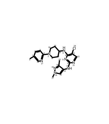 Cc1ccc(N2CCC(Nc3nc(Nc4cn(C)nc4C)ncc3Cl)CC2)nc1